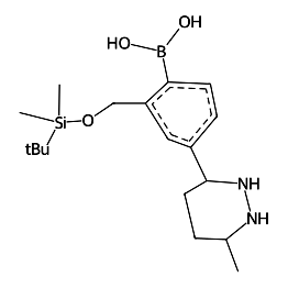 CC1CCC(c2ccc(B(O)O)c(CO[Si](C)(C)C(C)(C)C)c2)NN1